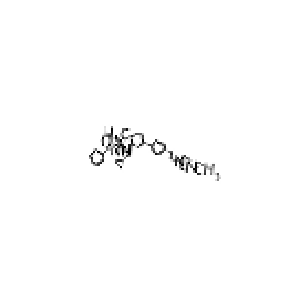 Cc1ccc(-c2ccc(CCN3CCN(C)CC3)cc2)cc1N(CC1CC1)C(=S)NC(=O)c1ccccc1